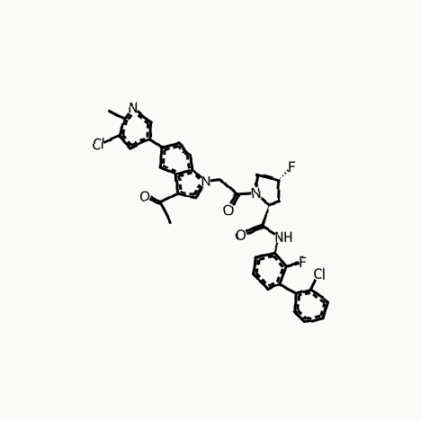 CC(=O)c1cn(CC(=O)N2C[C@H](F)C[C@H]2C(=O)Nc2cccc(-c3ccccc3Cl)c2F)c2ccc(-c3cnc(C)c(Cl)c3)cc12